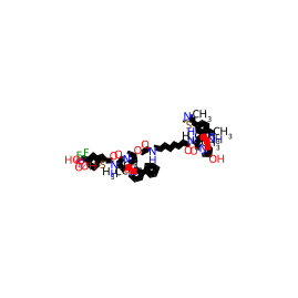 Cc1ncsc1-c1ccc([C@H](C)NC(=O)[C@@H]2C[C@@H](O)CN2C(=O)C(NC(=O)CCCCCCCNC(=O)CO[C@H]2C[C@@H](C(=O)N3CCCC(c4ccccc4)C3)N(C(=O)C(NC(=O)c3cc4cc(C(F)(F)P(=O)(O)O)ccc4s3)C(C)(C)C)C2)C(C)(C)C)cc1